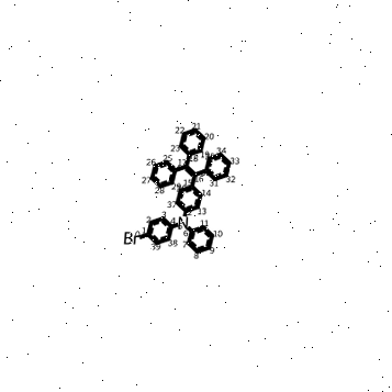 Brc1ccc(N(c2ccccc2)c2ccc(C(=C(c3ccccc3)c3ccccc3)c3ccccc3)cc2)cc1